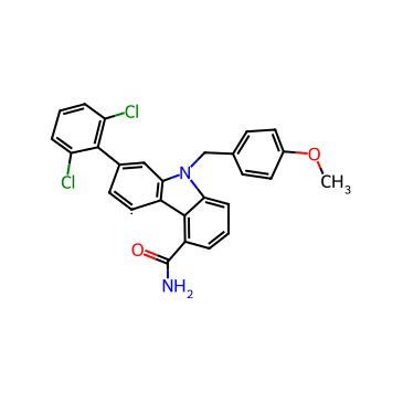 COc1ccc(Cn2c3cc(-c4c(Cl)cccc4Cl)c[c]c3c3c(C(N)=O)cccc32)cc1